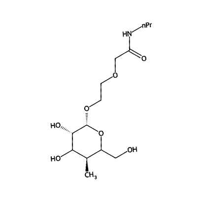 CCCNC(=O)COCCO[C@@H]1OC(CO)[C@@H](C)C(O)[C@@H]1O